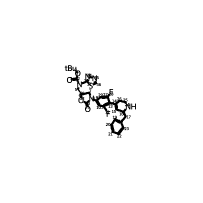 CC(C)(C)OC(=O)N(C[C@H]1CN(c2cc(F)c(C3=CC(Cc4ccccc4)NCC3)c(F)c2)C(=O)O1)c1nncs1